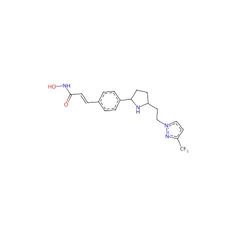 O=C(/C=C/c1ccc(C2CCC(CCn3ccc(C(F)(F)F)n3)N2)cc1)NO